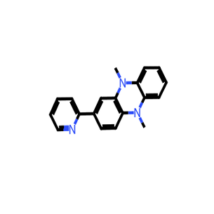 CN1c2ccccc2N(C)c2cc(-c3ccccn3)ccc21